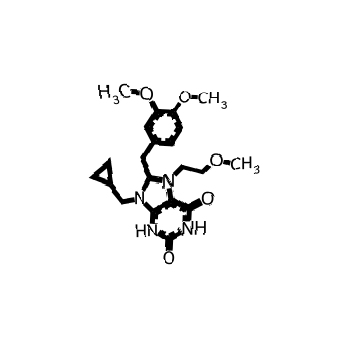 COCCN1c2c([nH]c(=O)[nH]c2=O)N(CC2CC2)C1Cc1ccc(OC)c(OC)c1